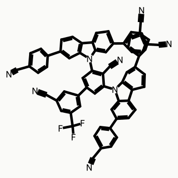 N#Cc1ccc(-c2ccc3c4ccc(-c5ccc(C#N)cc5)cc4n(-c4cc(-c5cc(C#N)cc(C(F)(F)F)c5)cc(-n5c6cc(-c7ccc(C#N)cc7)ccc6c6ccc(-c7ccc(C#N)cc7)cc65)c4C#N)c3c2)cc1